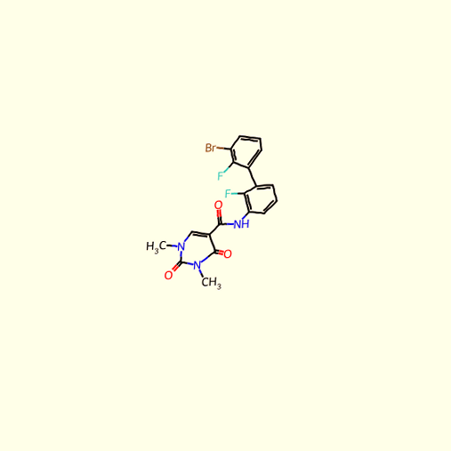 Cn1cc(C(=O)Nc2cccc(-c3cccc(Br)c3F)c2F)c(=O)n(C)c1=O